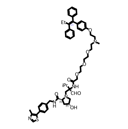 CC/C(=C(\c1ccccc1)c1ccc(OCCN(C)CCOCCOCCOCC(=O)N[C@](C=O)(CN2C[C@H](O)C[C@H]2C(=O)NCc2ccc(-c3scnc3C)cc2)C(C)C)cc1)c1ccccc1